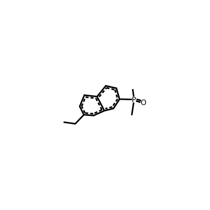 CCc1ccc2ccc(P(C)(C)=O)cc2c1